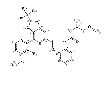 COCC(C)OC(=O)Cc1ccccc1OCc1cc(-c2cccc(CN)c2F)c2oc(C(F)(F)F)cc2c1